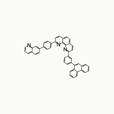 c1cc(-c2ccc3ccc4ccc(-c5ccc(-c6ccc7cccnc7c6)cc5)nc4c3n2)cc(-c2cc3ccccc3c3ccccc23)c1